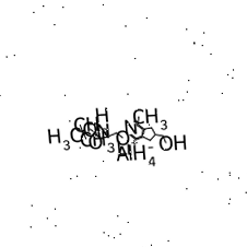 Cc1nc(OCCNC(=O)OC(C)(C)C)cc2c1CC(CO)C2.[AlH4-].[Li+]